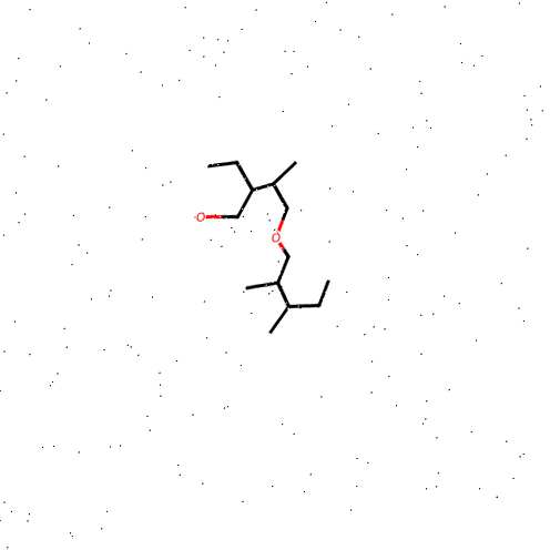 CCC(C)C(C)COCC(C)C(CC)C[O]